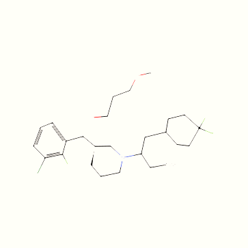 CCOCCCO[C@@H](c1cccc(Cl)c1F)[C@@H]1CCCN(C(CNC)CC2CCC(F)(F)CC2)C1